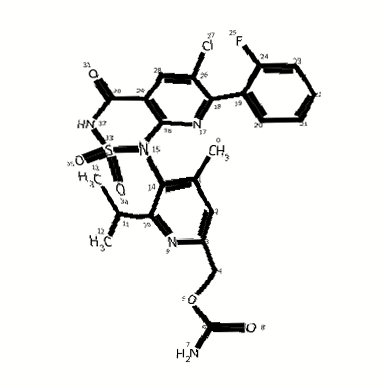 Cc1cc(COC(N)=O)nc(C(C)C)c1N1c2nc(-c3ccccc3F)c(Cl)cc2C(=O)NS1(=O)=O